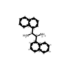 N[C@@H](c1cccc2ccccc12)[C@@H](N)c1cccc2ccccc12